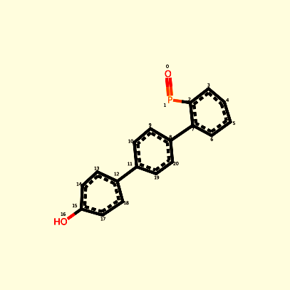 O=Pc1ccccc1-c1ccc(-c2ccc(O)cc2)cc1